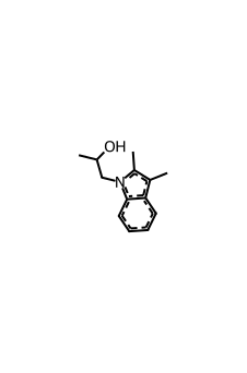 Cc1c(C)n(CC(C)O)c2ccccc12